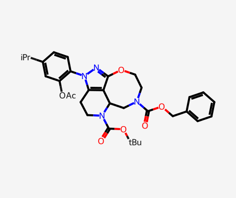 CC(=O)Oc1cc(C(C)C)ccc1-n1nc2c3c1CCN(C(=O)OC(C)(C)C)C3CN(C(=O)OCc1ccccc1)CCO2